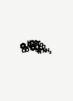 CC(CN1CCOCC1)NC(=O)c1c(C(N)=O)ncn1-c1ccc(NC(=O)c2ccccc2Cl)cc1